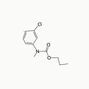 CCCOC(=O)N(C)c1cc[c]c(Cl)c1